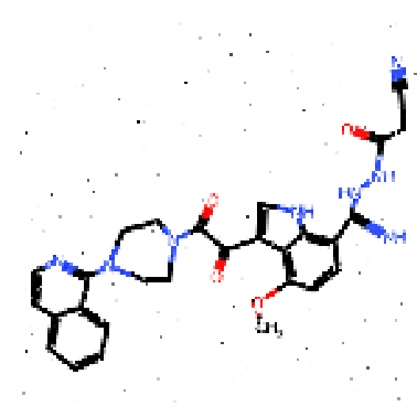 COc1ccc(C(=N)NNC(=O)CC#N)c2[nH]cc(C(=O)C(=O)N3CCN(c4nccc5ccccc45)CC3)c12